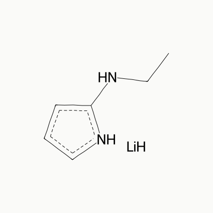 CCNc1ccc[nH]1.[LiH]